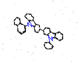 c1ccc(-n2c3ccccc3c3ccc(-c4ccc5c(c4)c4ccccc4n5-c4cccc5ccccc45)cc32)cc1